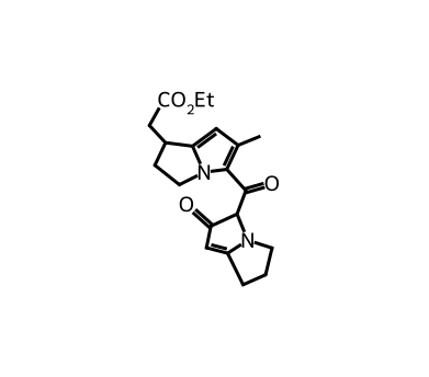 CCOC(=O)CC1CCn2c1cc(C)c2C(=O)C1C(=O)C=C2CCCN21